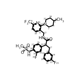 CC1CCN(c2nc(C(F)(F)F)ccc2CNC(=O)C(Cc2cccc(F)c2)c2ccc(NS(C)(=O)=O)c(F)c2)CC1